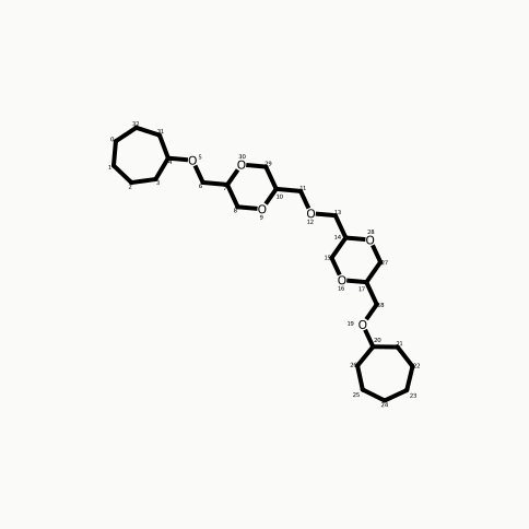 C1CCCC(OCC2COC(COCC3COC(COC4CCCCCC4)CO3)CO2)CC1